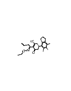 CCCC(=NOCC)C1=C(O)CC(c2c(C)c(C)c(C)c3c2CCC3)CC1=O